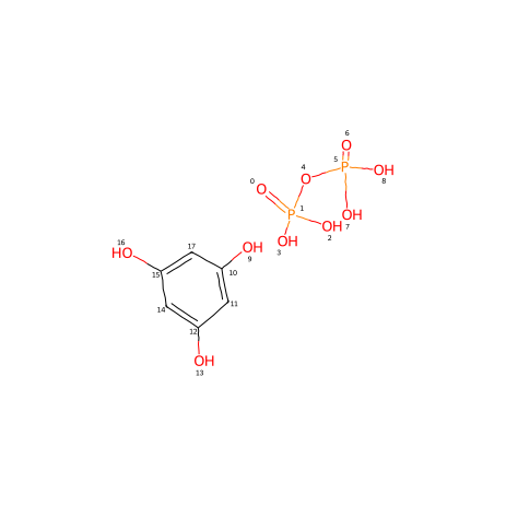 O=P(O)(O)OP(=O)(O)O.Oc1cc(O)cc(O)c1